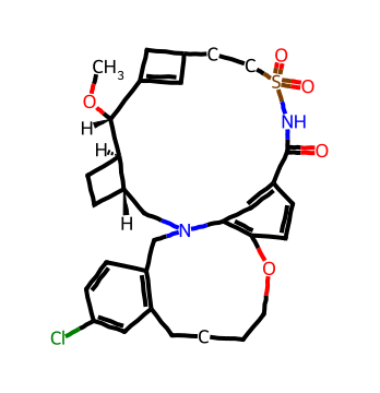 CO[C@@H]1C2=CC(CCS(=O)(=O)NC(=O)c3ccc4c(c3)N(Cc3ccc(Cl)cc3CCCCO4)C[C@@H]3CC[C@H]31)C2